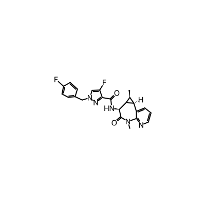 C[C@@H]1C2[C@H](NC(=O)c3nn(Cc4ccc(F)cc4)cc3F)C(=O)N(C)c3ncccc3[C@@H]21